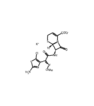 CON=C(C(=O)N[C@@H]1C(=O)N2C(C(=O)[O-])=CCS[C@@H]12)c1nc(N)sc1Cl.[K+]